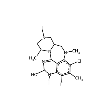 Cc1c(F)c2c3c(c1Cl)N(C)CC1CN(I)CC(C)N1C3=NC(O)N2I